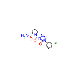 NC(=O)[C@@H]1CCCN1C(=O)n1nnn(-c2cccc(F)c2)c1=O